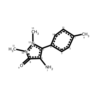 Cc1ccc(-c2c(N)c(=O)n(C)n2C)cc1